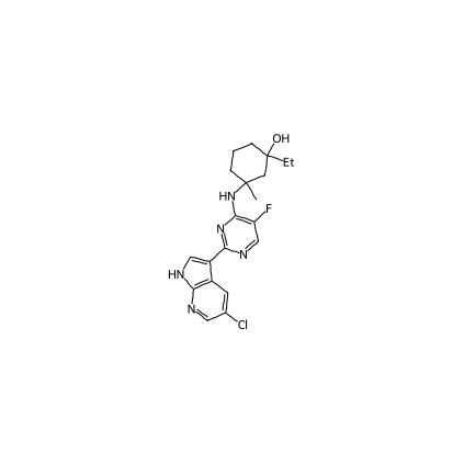 CCC1(O)CCCC(C)(Nc2nc(-c3c[nH]c4ncc(Cl)cc34)ncc2F)C1